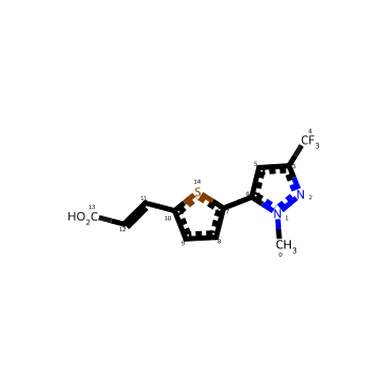 Cn1nc(C(F)(F)F)cc1-c1ccc(/C=C/C(=O)O)s1